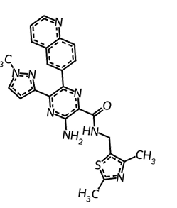 Cc1nc(C)c(CNC(=O)c2nc(-c3ccc4ncccc4c3)c(-c3ccn(C)n3)nc2N)s1